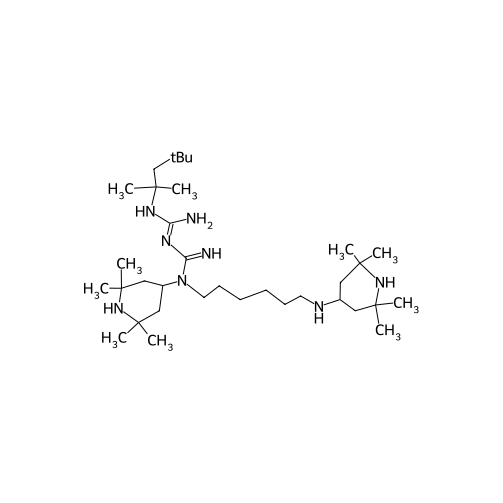 CC(C)(C)CC(C)(C)N/C(N)=N/C(=N)N(CCCCCCNC1CC(C)(C)NC(C)(C)C1)C1CC(C)(C)NC(C)(C)C1